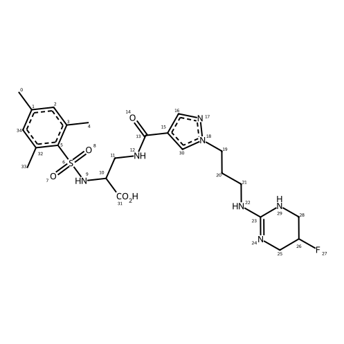 Cc1cc(C)c(S(=O)(=O)NC(CNC(=O)c2cnn(CCCNC3=NCC(F)CN3)c2)C(=O)O)c(C)c1